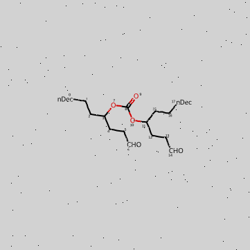 CCCCCCCCCCCCC(CCC=O)OC(=O)OC(CCC=O)CCCCCCCCCCCC